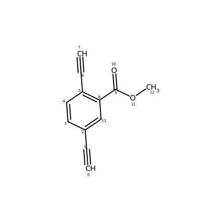 C#Cc1ccc(C#C)c(C(=O)OC)c1